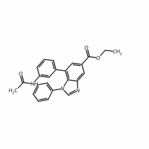 CCOC(=O)c1cc(-c2cccc(NC(C)=O)c2)c2c(c1)ncn2-c1ccccc1